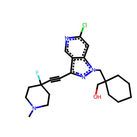 CN1CCC(F)(C#Cc2nn(CC3(CO)CCCCC3)c3cc(Cl)ncc23)CC1